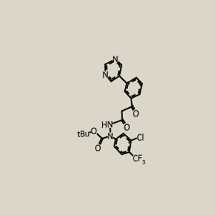 CC(C)(C)OC(=O)N(NC(=O)CC(=O)c1cccc(-c2cncnc2)c1)c1ccc(C(F)(F)F)c(Cl)c1